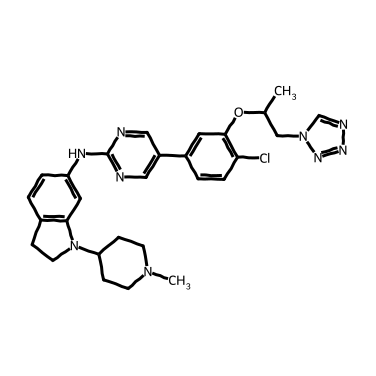 CC(Cn1cnnn1)Oc1cc(-c2cnc(Nc3ccc4c(c3)N(C3CCN(C)CC3)CC4)nc2)ccc1Cl